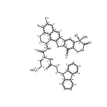 CC[C@@]1(O)C(=O)OCc2c1cc1n(c2=O)Cc2c-1nc1cc(F)c(C)c3c1c2[C@@H](NC(=O)[C@H](CCC(=O)O)NC(=O)OCC1c2ccccc2-c2ccccc21)CC3